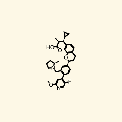 COc1cc(-c2ccc([C@@H]3CCc4ccc([C@H](C5CC5)[C@H](C)C(=O)O)cc4O3)cc2CN2CCC[C@H]2C)c(F)cn1